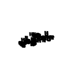 CN(C)CC(=O)Nc1cncc(-c2ccc3[nH]nc(-c4nc5c(-c6cc(F)cc(CNS(C)(=O)=O)c6)nccc5[nH]4)c3n2)c1